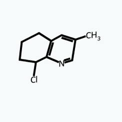 Cc1cnc2c(c1)CCCC2Cl